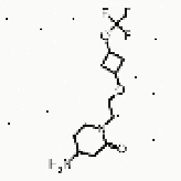 NC1CCN(CCOC2CC(OC(F)(F)F)C2)C(=O)C1